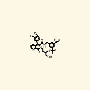 CC(CO)CCn1c(C(=O)NCc2cc(C(F)(F)F)cc(C(F)(F)F)c2)c(-c2ccc(Cl)c(Cl)c2)c2cccnc2c1=O